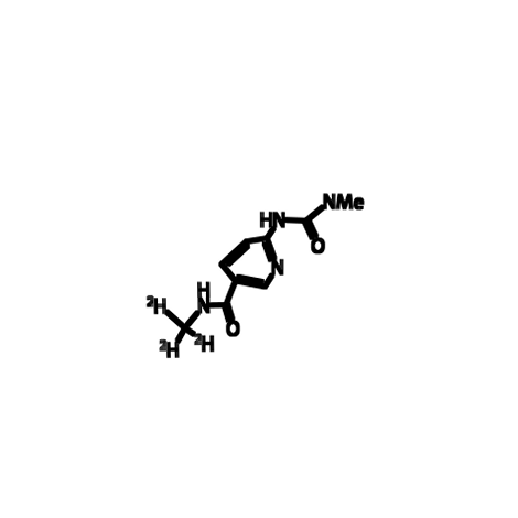 [2H]C([2H])([2H])NC(=O)c1ccc(NC(=O)NC)nc1